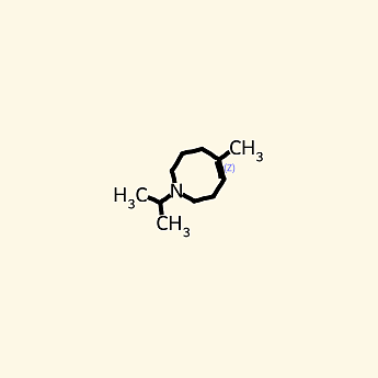 C/C1=C/CCN(C(C)C)CCC1